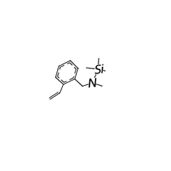 C=Cc1ccccc1CN(C)[Si](C)(C)C